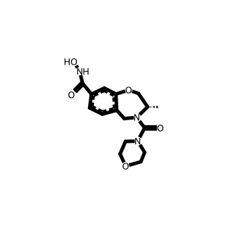 C[C@H]1COc2cc(C(=O)NO)ccc2CN1C(=O)N1CCOCC1